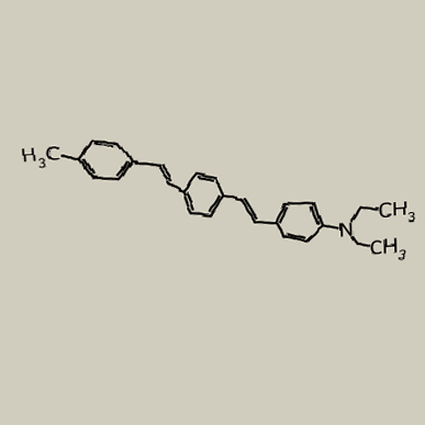 CCN(CC)c1ccc(C=Cc2ccc(C=Cc3ccc(C)cc3)cc2)cc1